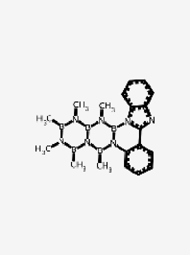 CB1N(C)B(C)N2B(N1C)N(C)B1N(B2C)c2ccccc2-c2nc3ccccc3n21